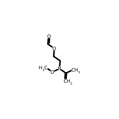 C=C(C)N(CCOC=O)OC